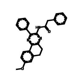 COc1ccc2c(c1)CCc1nc(NC(=O)Cc3ccccc3)c(-c3ccccc3)nc1-2